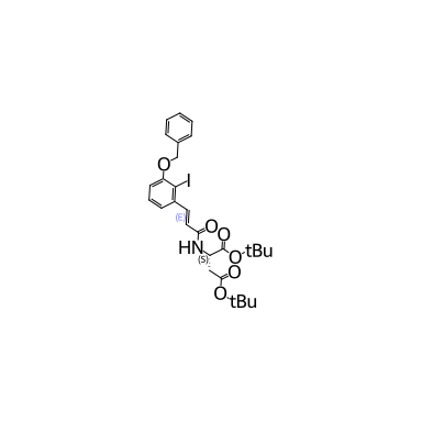 CC(C)(C)OC(=O)C[C@H](NC(=O)/C=C/c1cccc(OCc2ccccc2)c1I)C(=O)OC(C)(C)C